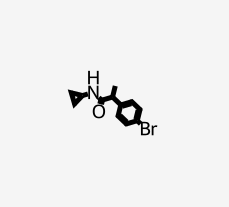 CC(C(=O)NC1CC1)c1ccc(Br)cc1